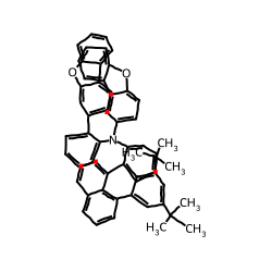 CC(C)(C)c1cc(-c2cccc3cccc(-c4ccccc4N(c4ccc5oc6ccccc6c5c4)c4ccccc4-c4ccc5c(c4)oc4ccccc45)c23)cc(C(C)(C)C)c1